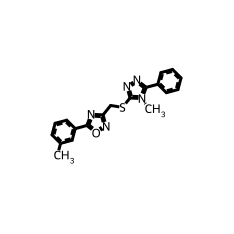 Cc1cccc(-c2nc(CSc3nnc(-c4ccccc4)n3C)no2)c1